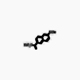 C=C(C(=O)OCC)c1ccc2cc(OC)ccc2c1